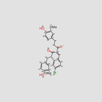 COc1cc(CCC(=O)C(=Cc2ccc(Br)cc2)C(=O)CCc2ccc(O)c(OC)c2)ccc1O